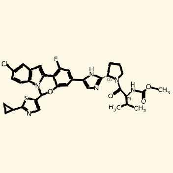 COC(=O)N[C@H](C(=O)N1CCC[C@H]1c1ncc(-c2cc(F)c3c(c2)OC(c2cnc(C4CC4)s2)n2c-3cc3cc(Cl)ccc32)[nH]1)C(C)C